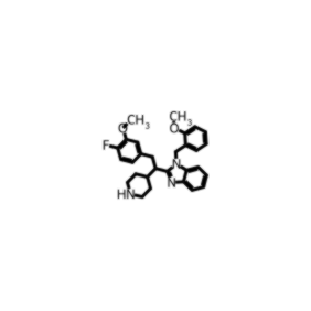 COc1cc(CC(c2nc3ccccc3n2Cc2ccccc2OC)C2CCNCC2)ccc1F